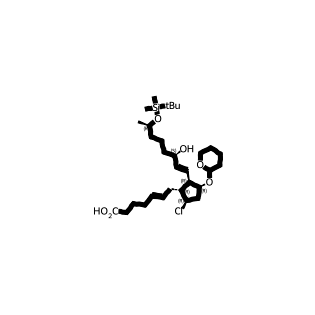 C[C@H](CCC[C@H](O)C=C[C@@H]1[C@@H](CC=CCCCC(=O)O)[C@H](Cl)C[C@H]1OC1CCCCO1)O[Si](C)(C)C(C)(C)C